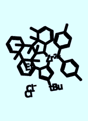 CCC1C=C(C(C)(C)C)C=[C]1[Zr+2](=[C](c1ccc(C)cc1)c1ccc(C)cc1)[CH]1C2C=CC=C(C)C2(C)C2(C)C3(C)C=CC=CC3(C)C3(C)C=CC=CC3(C)C12C.[Cl-].[Cl-]